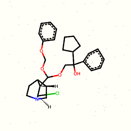 OC(COC(OCOc1ccccc1)[C@H]1C2CCN(CC2)[C@@H]1Cl)(c1ccccc1)C1CCCC1